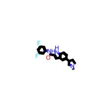 CN1CCC(c2ccc3[nH]c(C(=O)Nc4cc(F)cc(F)c4)cc3c2)C1